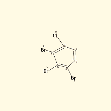 Clc1[c]cc(Br)c(Br)c1Br